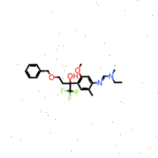 CCN(C)C=Nc1cc(OC)c(C(O)(CCOCc2ccccc2)C(F)(F)F)cc1C